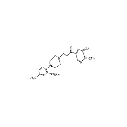 COc1cc(C)ccc1N1CCN(CCNc2cnn(C)c(=O)c2)CC1